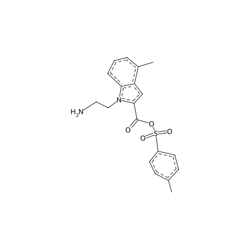 Cc1ccc(S(=O)(=O)OC(=O)c2cc3c(C)cccc3n2CCN)cc1